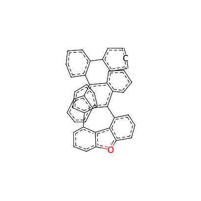 c1ccc(-c2ccccc2-c2c3ccccc3c(-c3cccc4oc5cccc(-c6ccccc6)c5c34)c3ccccc23)cc1